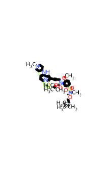 COc1ccc(S(=O)(=O)N(C)COCC[Si](C)(C)C)cc1N(CC#Cc1cc2c(N[C@@H]3CCN(C)C[C@@H]3F)cccn2c1SC(F)(F)F)C(=O)OC(C)(C)C